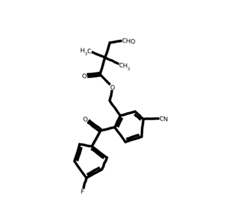 CC(C)(CC=O)C(=O)OCc1cc(C#N)ccc1C(=O)c1ccc(F)cc1